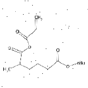 C=CC(=O)OC(=O)C(C)CCCC(=O)OCCCC